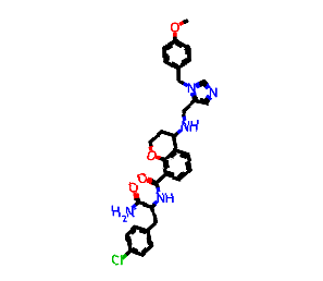 COc1ccc(Cn2cncc2CNC2CCOc3c(C(=O)NC(Cc4ccc(Cl)cc4)C(N)=O)cccc32)cc1